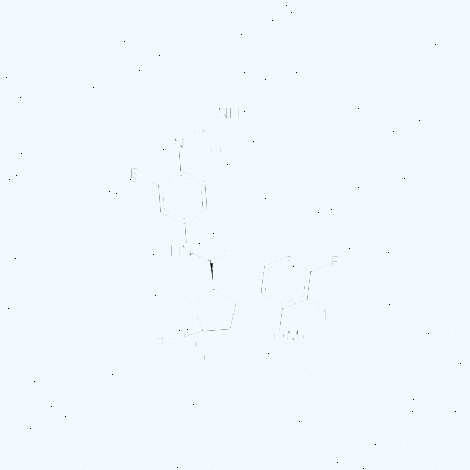 COc1c([C@@H]2C[C@](C)(C(F)(F)F)S[C@H]2C(=O)Nc2ccc(NS(N)(=O)=O)c(F)c2)ccc(F)c1F